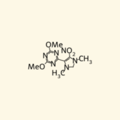 COc1nc(OC)nc(C2=C([N+](=O)[O-])N(C)CN2C)n1